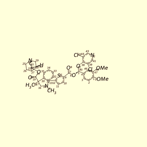 COc1ccc([C@@H](OC(=O)c2ccc(CN(C)CC(C)(C(=O)O[C@H]3CN4CCC3CC4)c3ccccc3)s2)Oc2c(Cl)cncc2Cl)cc1OC